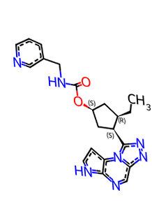 CC[C@@H]1C[C@H](OC(=O)NCc2cccnc2)C[C@@H]1c1nnc2cnc3[nH]ccc3n12